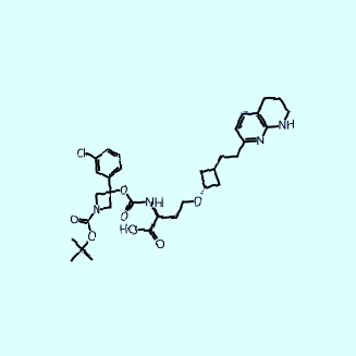 CC(C)(C)OC(=O)N1CC(OC(=O)NC(CCO[C@H]2C[C@H](CCc3ccc4c(n3)NCCC4)C2)C(=O)O)(c2cccc(Cl)c2)C1